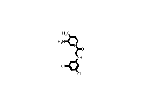 CC1CCN(C(=O)CNc2cc(Cl)cc(Cl)c2)CC1N